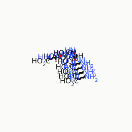 C[C@H](N)C(=O)O.NCC(=O)O.NCC(=O)O.NCCCC[C@H](N)C(=O)O.NCCCC[C@H](N)C(=O)O.NCCCC[C@H](N)C(=O)O.NCCCC[C@H](N)C(=O)O.NCCCC[C@H](N)C(=O)O.O=C(O)[C@@H]1CCCN1.O=C(O)[C@@H]1CCCN1